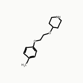 Cc1ccc(OCCOC2CCNCC2)cc1